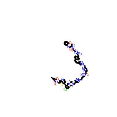 Cc1cc(Cl)cc(-c2ccnc3cc(CN4C(=O)C5CC5C4=O)sc23)c1CN1[C@@H](C)CN(Cc2cnn(CCCNC(=O)c3ccc(Cn4cc(/C=C\c5ccc(Cc6nc(C(=O)NC7COc8ccccc8N(C)C7=O)n[nH]6)cc5)cn4)nn3)c2)C[C@@H]1C